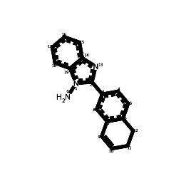 Nn1c(-c2ccc3c(c2)C=CCC3)nc2ccccc21